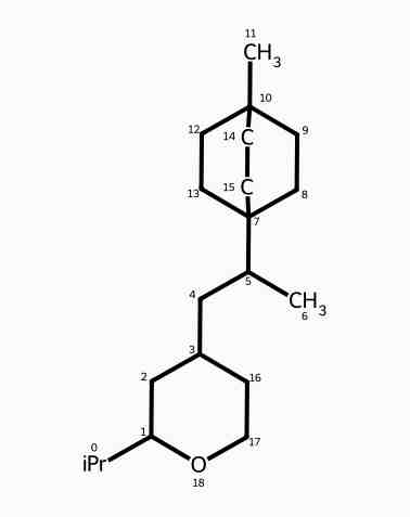 CC(C)C1CC(CC(C)C23CCC(C)(CC2)CC3)CCO1